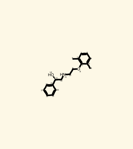 Cc1cccc(C)c1OCCNC[C@H](O)c1ccccc1